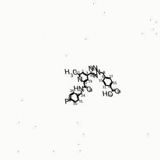 Cc1cc(-c2nnn(Cc3ccc(C(=O)O)cc3)n2)cc(C(=O)NCc2ccc(F)cc2)n1